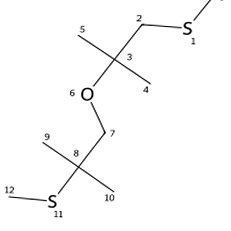 CSCC(C)(C)OCC(C)(C)SC